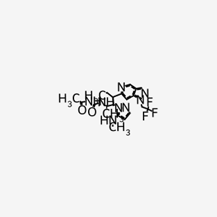 CCC(c1cc2c(cn1)cnn2CC(F)(F)F)C([C@@H](C)NC(=O)NC(C)=O)n1nccc1NC